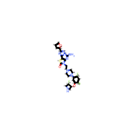 Nc1nc2c(sc(=O)n2CCN2CCN(c3cc(O[C@@H]4CNC[C@H]4F)c(F)cc3F)CC2)c2nc(-c3ccco3)nn12